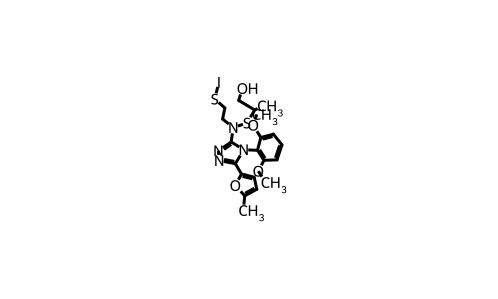 COc1cccc(OC)c1-n1c(-c2ccc(C)o2)nnc1N(CCSI)SC(C)CO